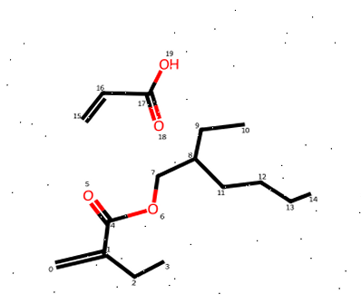 C=C(CC)C(=O)OCC(CC)CCCC.C=CC(=O)O